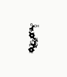 O=C(O)C1CN(Cc2ccc(-c3noc(-c4onc(-c5ccccc5)c4C(F)F)n3)cc2)C1